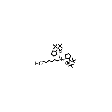 CC(C)(C)P(=O)(C1CCC[C@@H]1CN(CCCCCCO)C[C@@H]1CCCC1P(=O)(C(C)(C)C)C(C)(C)C)C(C)(C)C